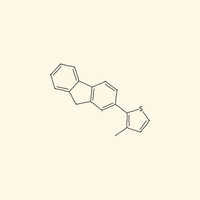 Cc1ccsc1-c1[c]c2c(cc1)-c1ccccc1C2